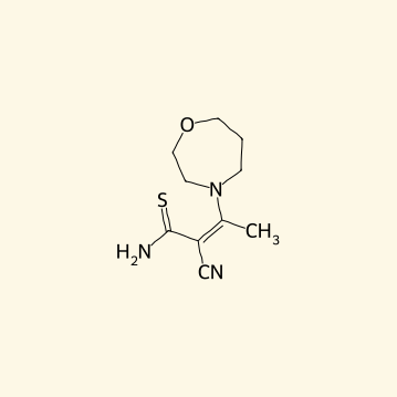 C/C(=C(\C#N)C(N)=S)N1CCCOCC1